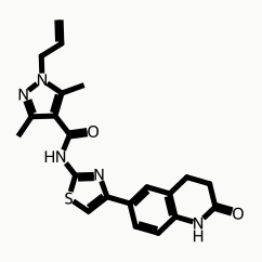 C=CCn1nc(C)c(C(=O)Nc2nc(-c3ccc4c(c3)CCC(=O)N4)cs2)c1C